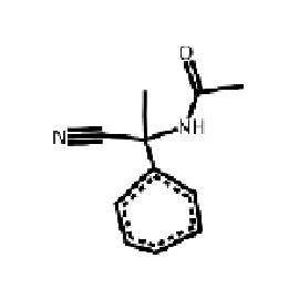 CC(=O)NC(C)(C#N)c1ccccc1